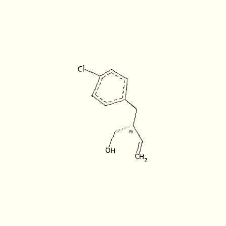 C=C[C@H](CO)Cc1ccc(Cl)cc1